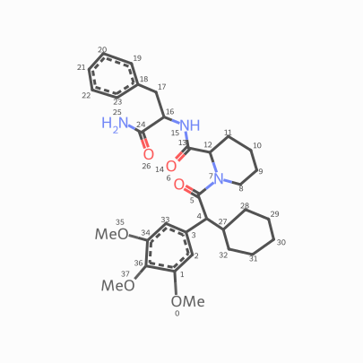 COc1cc(C(C(=O)N2CCCCC2C(=O)NC(Cc2ccccc2)C(N)=O)C2CCCCC2)cc(OC)c1OC